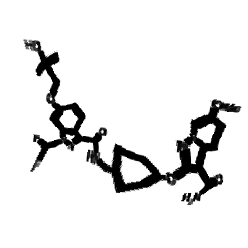 COc1ccc2c(C(N)=O)c(O[C@H]3CC[C@H](NC(=O)c4nn(C(F)F)c5cc(OCC(C)(C)O)ccc45)CC3)nn2c1